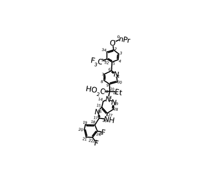 CCCOc1ccc(-c2ccc(C(CC)(C(=O)O)N3Cc4nc(-c5cccc(F)c5F)[nH]c4C=N3)cn2)c(C(F)(F)F)c1